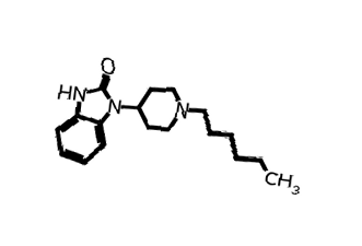 CCCCCCN1CCC(n2c(=O)[nH]c3ccccc32)CC1